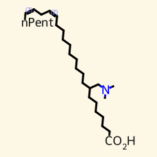 CCCCC/C=C\C/C=C\CCCCCCCCCC(CCCCCCC(=O)O)CN(C)C